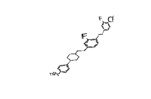 CCCc1ccc(C2CCC(CCc3ccc(CCc4ccc(Cl)c(F)c4)c(F)c3)CC2)cc1